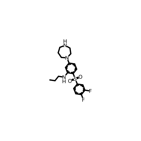 CCCNc1cc(N2CCCNCC2)ccc1S(=O)(=O)c1ccc(F)c(F)c1